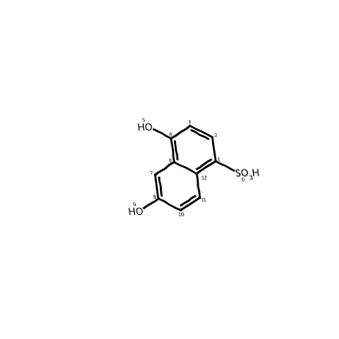 O=S(=O)(O)c1ccc(O)c2cc(O)ccc12